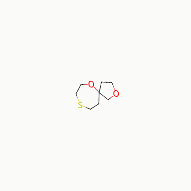 C1CC2(CCSCCO2)CO1